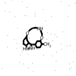 CC1CCC2CC1OCCNCCCOC1CCC3NNC2C3C1